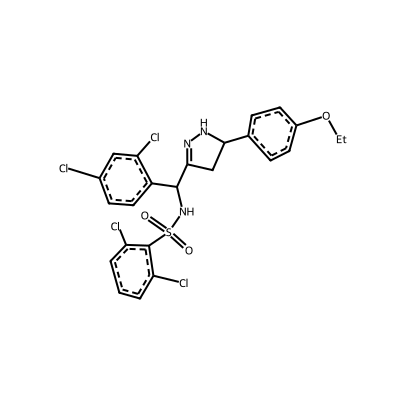 CCOc1ccc(C2CC(C(NS(=O)(=O)c3c(Cl)cccc3Cl)c3ccc(Cl)cc3Cl)=NN2)cc1